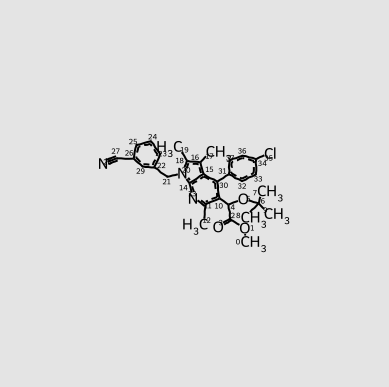 COC(=O)C(OC(C)(C)C)c1c(C)nc2c(c(C)c(C)n2Cc2cccc(C#N)c2)c1-c1ccc(Cl)cc1